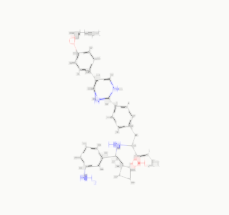 CC/C=C(\O)C(Cc1ccc(-c2ncc(-c3ccc(OCCCCCCC)cc3)cn2)cc1)NC(=C1CCC1)c1cccc(N)c1